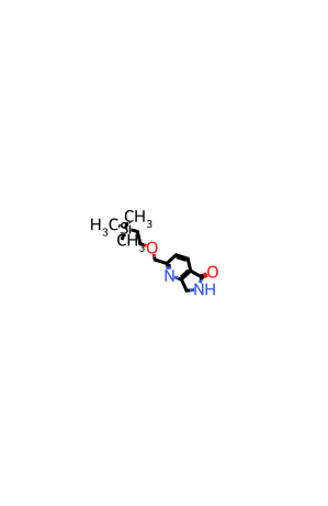 C[Si](C)(C)CCOCc1ccc2c(n1)CNC2=O